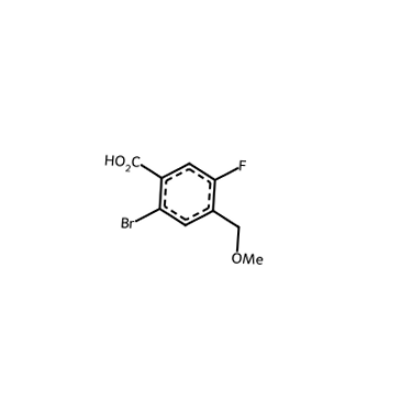 COCc1cc(Br)c(C(=O)O)cc1F